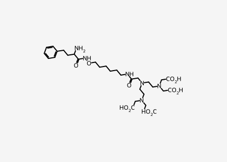 NC(CCc1ccccc1)C(=O)NOCCCCCCNC(=O)CN(CCN(CC(=O)O)CC(=O)O)CCN(CC(=O)O)CC(=O)O